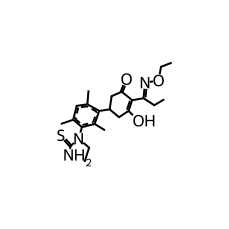 CCON=C(CC)C1=C(O)CC(c2c(C)cc(C)c(N(CC)C(N)=S)c2C)CC1=O